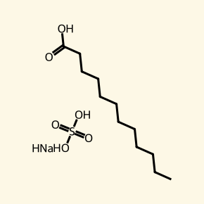 CCCCCCCCCCCC(=O)O.O=S(=O)(O)O.[NaH]